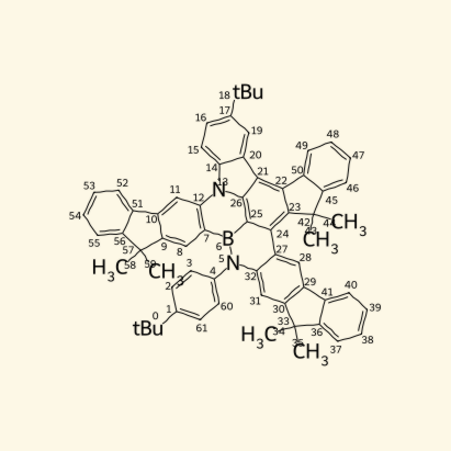 CC(C)(C)c1ccc(N2B3c4cc5c(cc4-n4c6ccc(C(C)(C)C)cc6c6c7c(c(c3c64)-c3cc4c(cc32)C(C)(C)c2ccccc2-4)C(C)(C)c2ccccc2-7)-c2ccccc2C5(C)C)cc1